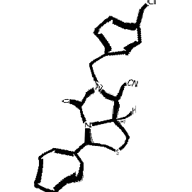 N#CC1[C@@H]2CSC(c3ccccc3)N2C(=O)N1Cc1ccc(Cl)cc1